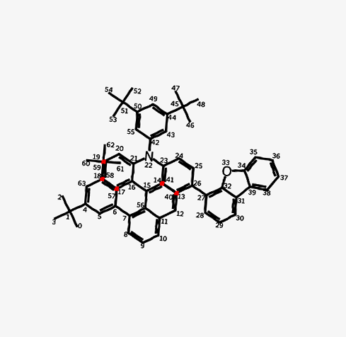 CC(C)(C)c1cc(-c2cccc3cccc(-c4ccccc4N(c4ccc(-c5cccc6c5oc5ccccc56)cc4)c4cc(C(C)(C)C)cc(C(C)(C)C)c4)c23)cc(C(C)(C)C)c1